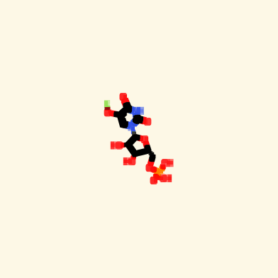 O=c1[nH]c(=O)n([C@@H]2O[C@H](COP(=O)(O)O)[C@@H](O)[C@H]2O)cc1OF